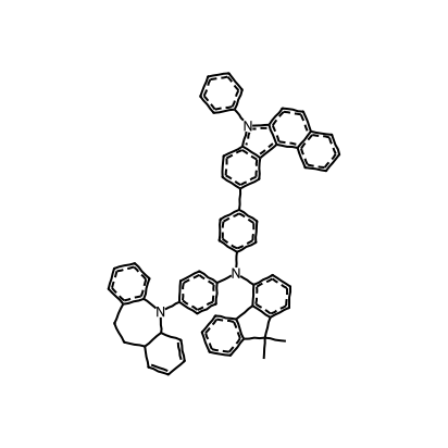 CC1(C)c2ccccc2-c2c(N(c3ccc(-c4ccc5c(c4)c4c6ccccc6ccc4n5-c4ccccc4)cc3)c3ccc(N4c5ccccc5CCC5C=CC=CC54)cc3)cccc21